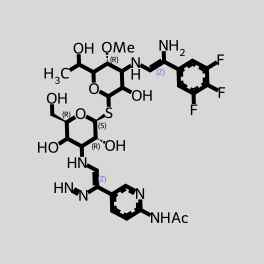 CO[C@@H]1C(N/C=C(\N)c2cc(F)c(F)c(F)c2)C(O)C(S[C@@H]2O[C@H](CO)C(O)C(N/C=C(\N=N)c3ccc(NC(C)=O)nc3)[C@H]2O)OC1C(C)O